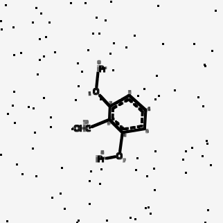 CC(C)Oc1cccc(OC(C)C)c1[C]=O